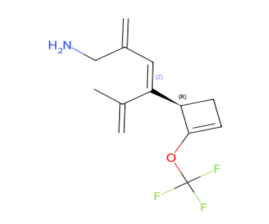 C=C(/C=C(\C(=C)C)[C@H]1CC=C1OC(F)(F)F)CN